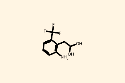 Nc1cccc(C(F)(F)F)c1CC(O)O